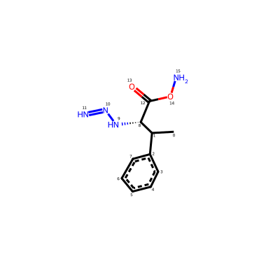 CC(c1ccccc1)[C@H](NN=N)C(=O)ON